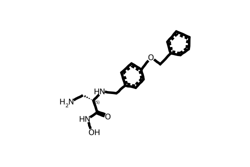 NC[C@H](NCc1ccc(OCc2ccccc2)cc1)C(=O)NO